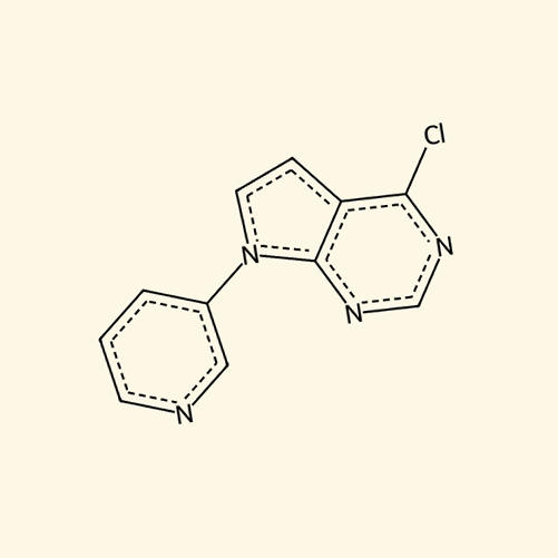 Clc1ncnc2c1ccn2-c1cccnc1